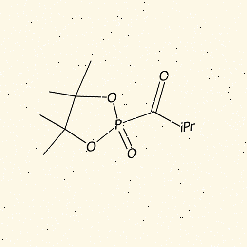 CC(C)C(=O)P1(=O)OC(C)(C)C(C)(C)O1